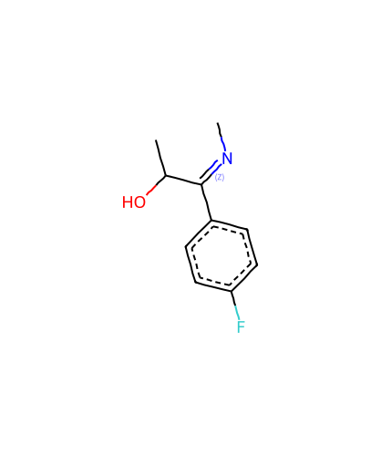 C/N=C(/c1ccc(F)cc1)C(C)O